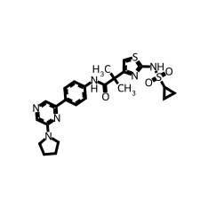 CC(C)(C(=O)Nc1ccc(-c2cncc(N3CCCC3)n2)cc1)c1csc(NS(=O)(=O)C2CC2)n1